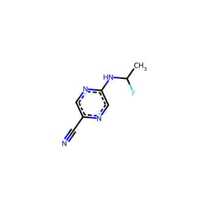 CC(F)Nc1cnc(C#N)cn1